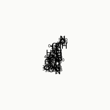 CCC[C@H](NC(=O)[C@@H]1[C@H]2CCC[C@H]2CN1C(=O)[C@@H](NC(=O)[C@@H](NC(=O)c1cnccn1)C1CCCCC1)C(C)(C)C)C(=O)C(=O)NCc1cccnc1